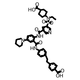 CCN(C1CCC(C(=O)O)CC1)S(=O)(=O)c1cncc(C(=O)Nc2ccc(N3CCCCC3)cc2C(=O)Nc2ccc(CCc3ccc(C(=O)O)cc3)cc2)c1